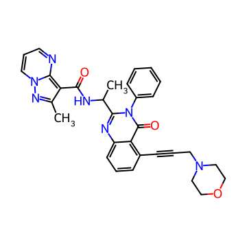 Cc1nn2cccnc2c1C(=O)NC(C)c1nc2cccc(C#CCN3CCOCC3)c2c(=O)n1-c1ccccc1